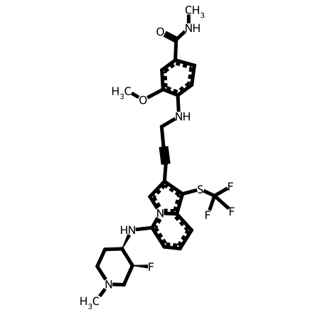 CNC(=O)c1ccc(NCC#Cc2cn3c(N[C@@H]4CCN(C)C[C@@H]4F)cccc3c2SC(F)(F)F)c(OC)c1